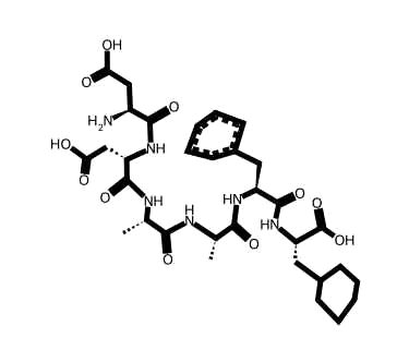 C[C@H](NC(=O)[C@H](C)NC(=O)[C@H](CC(=O)O)NC(=O)[C@@H](N)CC(=O)O)C(=O)N[C@@H](Cc1ccccc1)C(=O)N[C@@H](CC1CCCCC1)C(=O)O